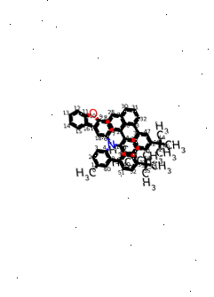 Cc1ccc(N(c2ccc3oc4ccccc4c3c2)c2ccccc2-c2cccc3cccc(-c4cc(C(C)(C)C)cc(C(C)(C)C)c4)c23)c(-c2ccc(C(C)(C)C)cc2)c1